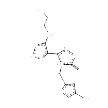 O=c1onc(-c2nonc2NCCO)n1Cc1cc(Cl)co1